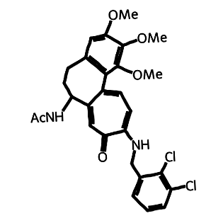 COc1cc2c(c(OC)c1OC)-c1ccc(NCc3cccc(Cl)c3Cl)c(=O)cc1C(NC(C)=O)CC2